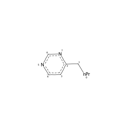 CCCCc1c[c]ncn1